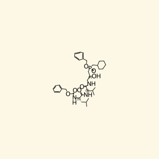 CC(C)C[C@H](NC(=O)OCc1ccccc1)C(=O)N[C@H](C(=O)NC[C@@H](O)CP(=O)(CC1CCCCC1)OCc1ccccc1)C(C)C